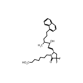 C[C@@H](CCCc1cccc2ccccc12)[C@H](O)/C=C/[C@H]1CC(F)(F)C(=O)N1CCCCCCC(=O)O